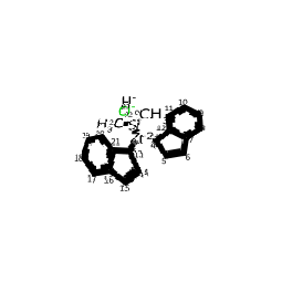 C[Si](C)=[Zr+2]([CH]1C=Cc2ccccc21)[CH]1C=Cc2ccccc21.[Cl-].[H-]